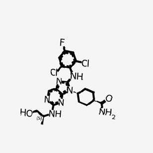 C[C@@H](CO)Nc1ncc2nc(Nc3c(Cl)cc(F)cc3Cl)n([C@H]3CC[C@H](C(N)=O)CC3)c2n1